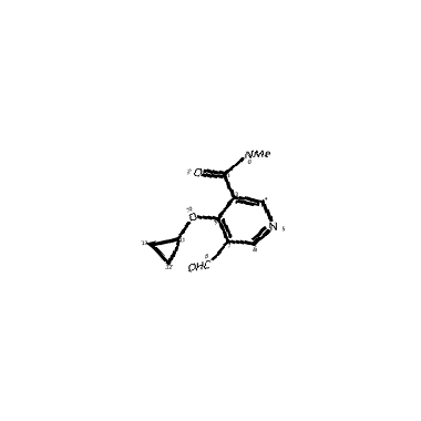 CNC(=O)c1cncc(C=O)c1OC1CC1